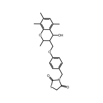 Cc1cc(C)c2c(c1C)OC(C)C(COc1ccc(CN3C(=O)CSC3=O)cc1)C2O